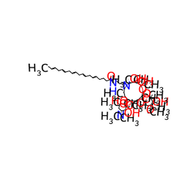 CCC=CCC=CCC=CCC=CCC=CCCCC(=O)NCCCN1C[C@H](C)C[C@@](C)(O)[C@H](O[C@@H]2O[C@H](C)C[C@H](N(C)C)[C@H]2O)[C@@H](C)[C@H](O[C@H]2C[C@@](C)(OC)[C@@H](O)[C@H](C)O2)[C@@H](C)C(=O)O[C@H](CC)[C@@](C)(O)[C@H](O)[C@H]1C